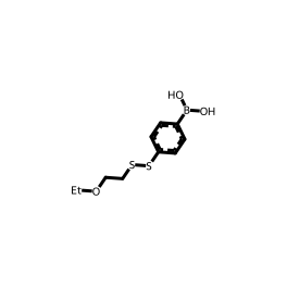 CCOCCSSc1ccc(B(O)O)cc1